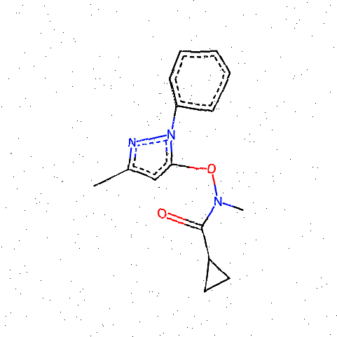 Cc1cc(ON(C)C(=O)C2CC2)n(-c2ccccc2)n1